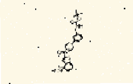 CC(C)(C)OC(=O)NCc1cccc(C2CCN(C(=O)c3cc4c([Si](C)(C)O)cccc4s3)CC2)c1